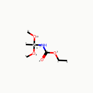 CCOC(=O)N[Si](C)(OC)OC